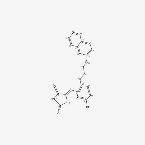 O=C1NC(=S)SC1=Cc1cc(Br)ccc1OCCOc1ccc2ccncc2c1